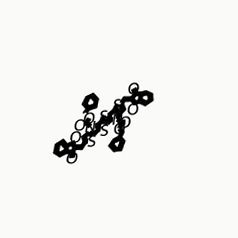 O=C1C(=Cc2cc3c(s2)c2sc4c(sc5c6sc(C=C7C(=O)c8ccccc8C7=O)cc6n(C(=O)OCc6ccccc6)c54)c2n3C(=O)OCc2ccccc2)C(=O)c2ccccc21